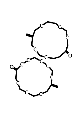 C=C1CCCCCCCC(=O)CCCCCCC1.C=C1CCCCCCCCC(=O)CCCCCC1